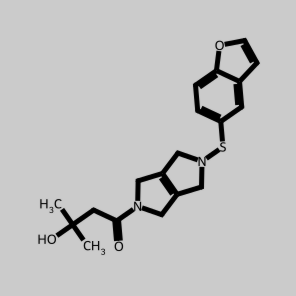 CC(C)(O)CC(=O)N1CC2=C(CN(Sc3ccc4occc4c3)C2)C1